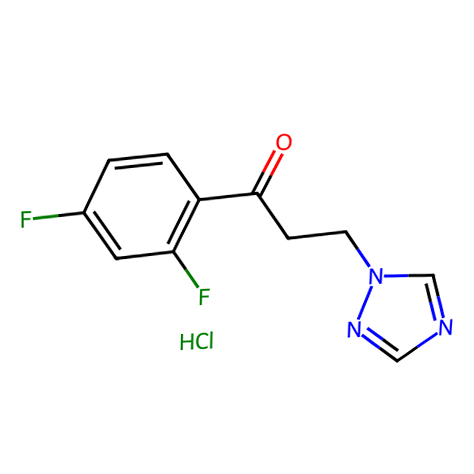 Cl.O=C(CCn1cncn1)c1ccc(F)cc1F